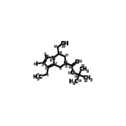 CCc1c(I)nn2c1CN(C(=O)OC(C)(C)C)CC2CO